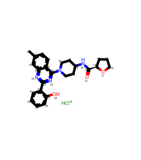 Cc1ccc2c(N3CCC(NC(=O)[C@H]4CCCO4)CC3)nc(-c3ccccc3O)nc2c1.Cl